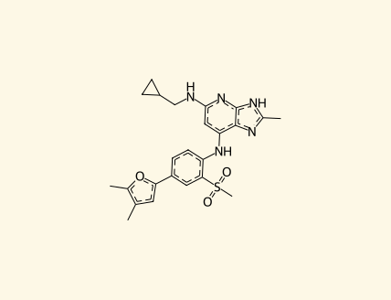 Cc1nc2c(Nc3ccc(-c4cc(C)c(C)o4)cc3S(C)(=O)=O)cc(NCC3CC3)nc2[nH]1